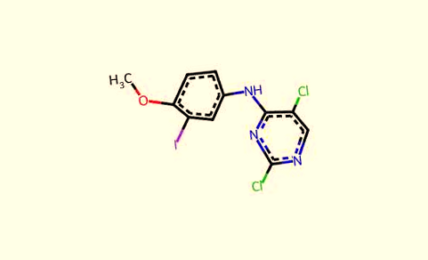 COc1ccc(Nc2nc(Cl)ncc2Cl)cc1I